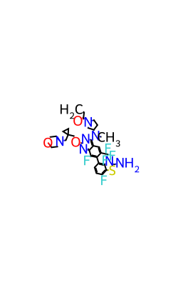 C=CC(=O)N1CC[C@@H](N(C)c2nc(OCC3(CN4CCOCC4)CC3)nc3c(F)c(-c4ccc(F)c5sc(N)nc45)c(C(F)(F)F)cc23)C1